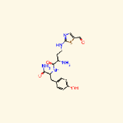 NC(=O)C(Cc1ccc(O)cc1)NC(=O)C(N)CCNc1ncc(C=O)s1